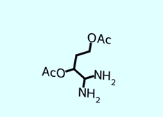 CC(=O)OCCC(OC(C)=O)C(N)N